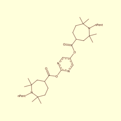 CCCCCN1C(C)(C)CCC(C(=O)Oc2cnc(OC(=O)C3CCC(C)(C)N(CCCCC)C(C)(C)C3)nc2)CC1(C)C